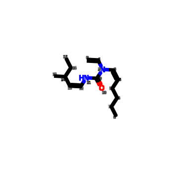 C=CN(/C=C\CCCC)C(=O)N/C=C\C(C)CC